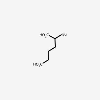 CCC(C)C(CCCC(=O)O)C(=O)O